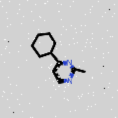 Cc1nccc(C2CCCCC2)n1